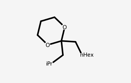 CCCCCCCC1(CC(C)C)OCCCO1